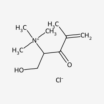 C=C(C)C(=O)C(CO)[N+](C)(C)C.[Cl-]